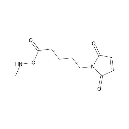 CNOC(=O)CCCCN1C(=O)C=CC1=O